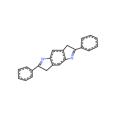 c1ccc(C2=Nc3cc4c(cc3C2)N=C(c2ccccc2)C4)cc1